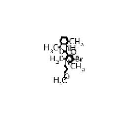 CCc1cccc(C)c1NC(=O)c1c(C)n(CCCOC)c(C)c(Br)c1=O